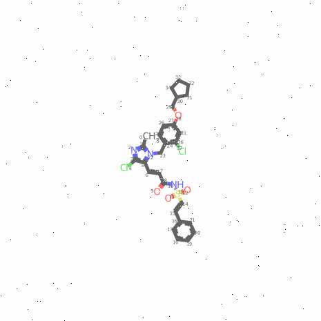 Cc1nc(Cl)c(C=CC(=O)NS(=O)(=O)C=Cc2ccccc2)n1Cc1ccc(OCC2CCCC2)cc1Cl